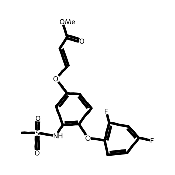 COC(=O)/C=C/Oc1ccc(Oc2ccc(F)cc2F)c(NS(C)(=O)=O)c1